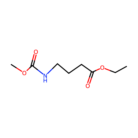 CCOC(=O)CCCNC(=O)OC